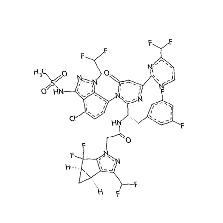 CS(=O)(=O)Nc1nn(CC(F)F)c2c(-n3c([C@H](Cc4cc(F)cc(F)c4)NC(=O)Cn4nc(C(F)F)c5c4C(F)(F)[C@@H]4C[C@H]54)nc(-c4nccc(C(F)F)n4)cc3=O)ccc(Cl)c12